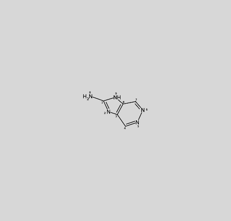 Nc1nc2cnncc2[nH]1